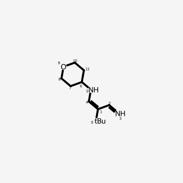 CC(C)(C)/C(C=N)=C/NC1CCOCC1